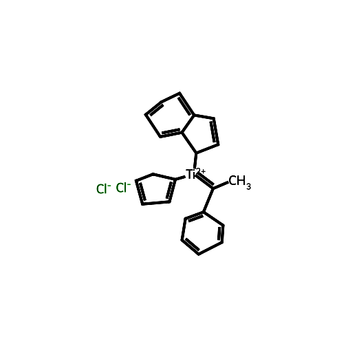 C/[C](c1ccccc1)=[Ti+2](/[C]1=CC=CC1)[CH]1C=Cc2ccccc21.[Cl-].[Cl-]